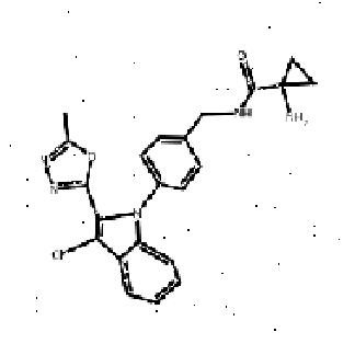 Cc1nnc(-c2c(Cl)c3ccccc3n2-c2ccc(CNC(=O)C3(N)CC3)cc2)o1